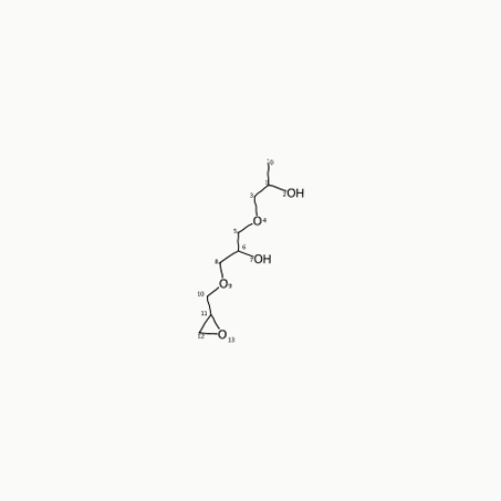 [CH2]C(O)COCC(O)COCC1CO1